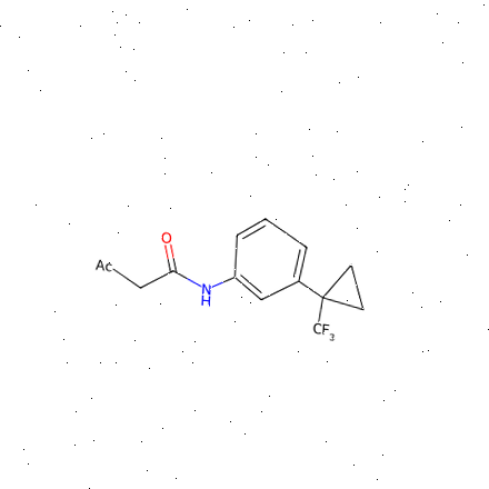 CC(=O)CC(=O)Nc1cccc(C2(C(F)(F)F)CC2)c1